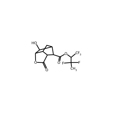 CC(F)(F)C(OC(=O)C1C2CC3C(OC(=O)C31)C2O)C(F)(F)F